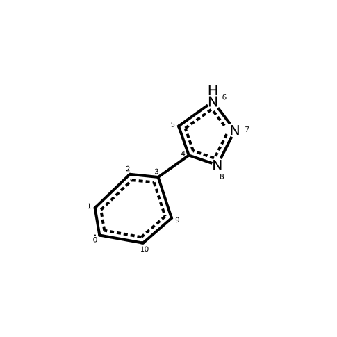 [c]1ccc(-c2c[nH]nn2)cc1